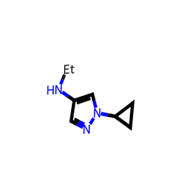 CCNc1cnn(C2CC2)c1